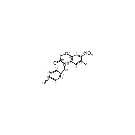 Cc1cc2c(cc1[N+](=O)[O-])OCC(=O)N2Cc1ccc(F)cc1